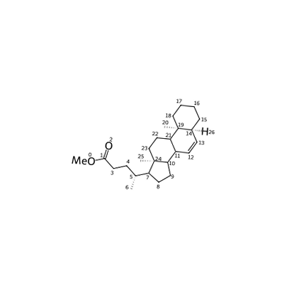 COC(=O)CC[C@@H](C)C1CCC2C3C=C[C@@H]4CCCC[C@]4(C)C3CC[C@@]21C